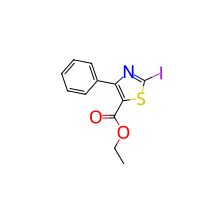 CCOC(=O)c1sc(I)nc1-c1ccccc1